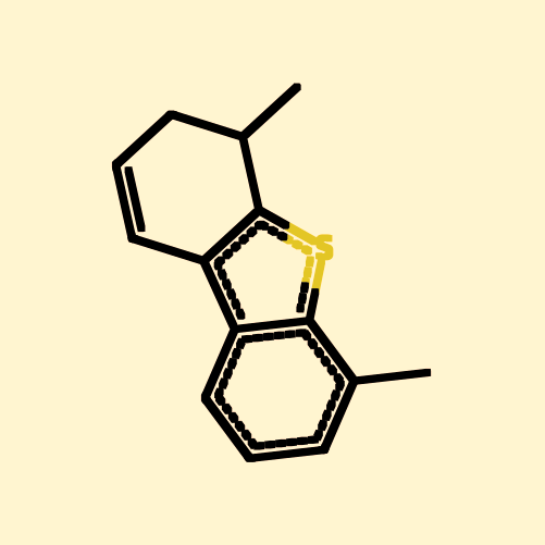 Cc1cccc2c3c(sc12)C(C)CC=C3